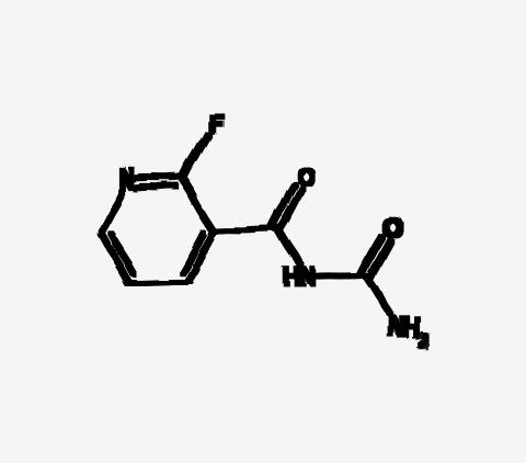 NC(=O)NC(=O)c1cccnc1F